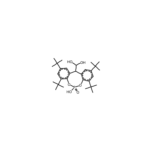 CC(C)(C)c1cc2c(c(C(C)(C)C)c1)OP(=O)(O)Oc1c(cc(C(C)(C)C)cc1C(C)(C)C)C2C(O)O